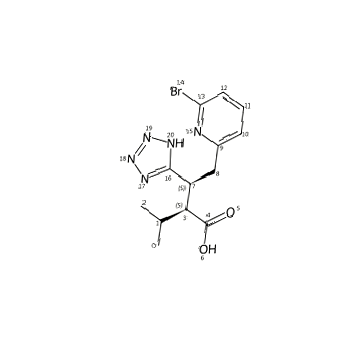 CC(C)[C@H](C(=O)O)[C@H](Cc1cccc(Br)n1)c1nnn[nH]1